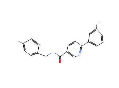 COc1cccc(-c2ccc(C(=O)NCc3ccc(Cl)cc3)cn2)c1